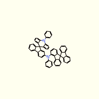 c1ccc(N(c2ccc3c(c2)C2(c4ccccc4-3)c3ccccc3N(c3ccccc3)c3ccccc32)c2cccc3c2-c2ccccc2C32c3ccccc3-c3ccccc32)cc1